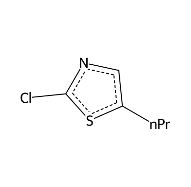 CCCc1cnc(Cl)s1